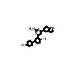 Nc1nc(-c2ccc3[nH]ccc3c2)cc(-c2cc(-c3ccc(O)cc3)ccc2O)n1